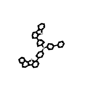 c1ccc(-c2ccc(N(c3ccc(-c4cccc5c4oc4ccccc45)cc3)c3ccc(-c4cccc5c4sc4c6ccccc6ccc54)cc3)cc2)cc1